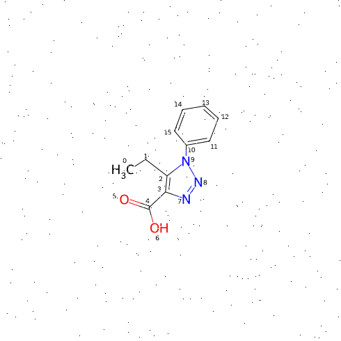 CCc1c(C(=O)O)nnn1-c1ccccc1